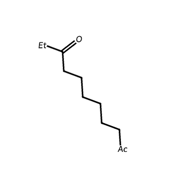 CCC(=O)CCCCCCC(C)=O